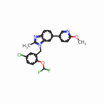 COc1ccc(-c2ccc3nc(C)n(Cc4cc(Cl)ccc4OC(F)F)c3c2)cn1